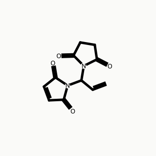 C=C[C](N1C(=O)C=CC1=O)N1C(=O)CCC1=O